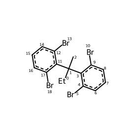 CCC(C)(c1c(Br)cccc1Br)c1c(Br)cccc1Br